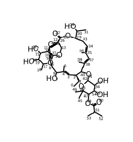 CCC1/C=C(\C)C(O)C/C=C/C=C(\COC2OC(C)C(O)C(O)C2OC)C(=O)OC(C(C)O)C/C=C(C)/C=C(\C)C1OC1OC(C)(C)C(OC(=O)C(C)C)C(O)C1O